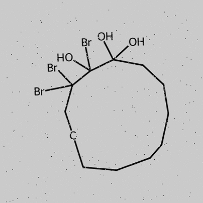 OC1(O)CCCCCCCCCC(Br)(Br)C1(O)Br